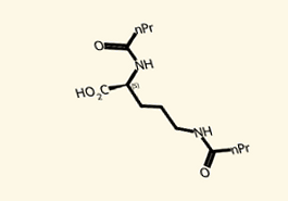 CCCC(=O)NCCC[C@H](NC(=O)CCC)C(=O)O